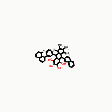 Bc1c(B)c(B)c2c(-c3ccc4ccccc4c3)c3c(O)c(O)c(O)c(O)c3c(-c3cccc(-c4cccc5c4C(C)CC=C5)c3)c2c1B